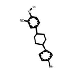 CCCOc1ccc(C2CCC(c3ccc(CCC)cc3)CC2)cc1C#N